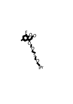 Cc1cc(F)c2oc(=O)cc(OCCOCCSCCOCCC(C)C)c2c1